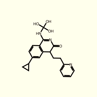 O=C1N=C(NC(O)(O)O)c2ccc(C3CC3)cc2C1CCc1ccccn1